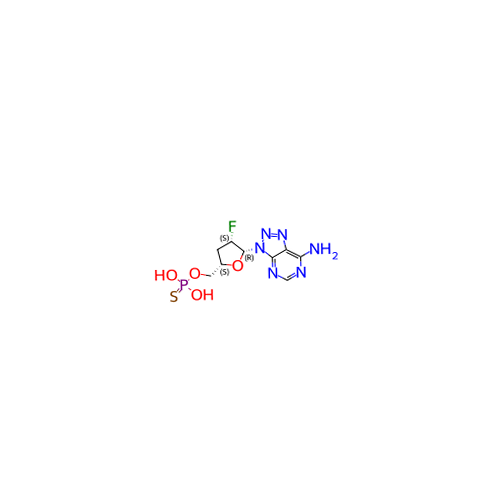 Nc1ncnc2c1nnn2[C@@H]1O[C@H](COP(O)(O)=S)C[C@@H]1F